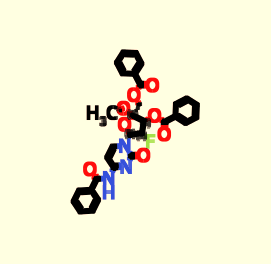 CO[C@]1(COC(=O)c2ccccc2)O[C@@H](n2ccc(NC(=O)c3ccccc3)nc2=O)[C@H](F)[C@@H]1OC(=O)c1ccccc1